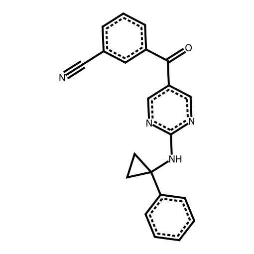 N#Cc1cccc(C(=O)c2cnc(NC3(c4ccccc4)CC3)nc2)c1